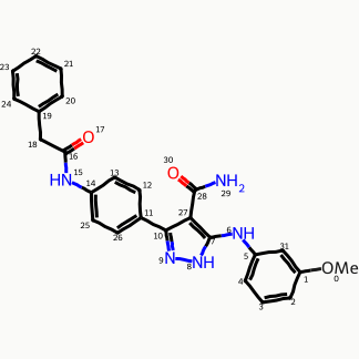 COc1cccc(Nc2[nH]nc(-c3ccc(NC(=O)Cc4ccccc4)cc3)c2C(N)=O)c1